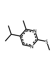 CSc1ncc(C(C)C)c(C)n1